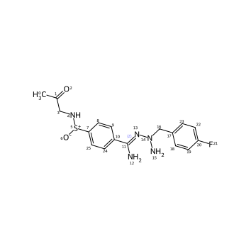 CC(=O)CN[S+]([O-])c1ccc(/C(N)=N/N(N)Cc2ccc(F)cc2)cc1